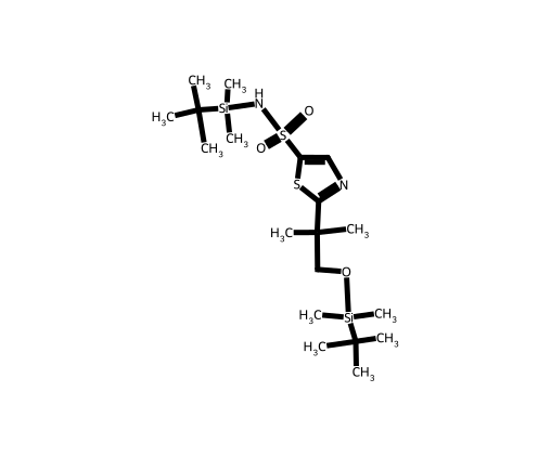 CC(C)(CO[Si](C)(C)C(C)(C)C)c1ncc(S(=O)(=O)N[Si](C)(C)C(C)(C)C)s1